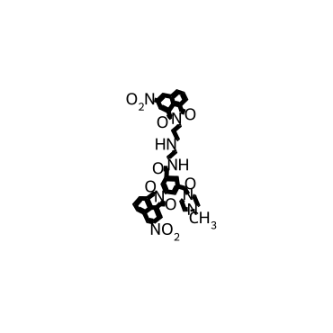 CN1CCN(C(=O)c2cc(C(=O)NCCNCCCN3C(=O)c4cccc5cc([N+](=O)[O-])cc(c45)C3=O)cc(N3C(=O)c4cccc5cc([N+](=O)[O-])cc(c45)C3=O)c2)CC1